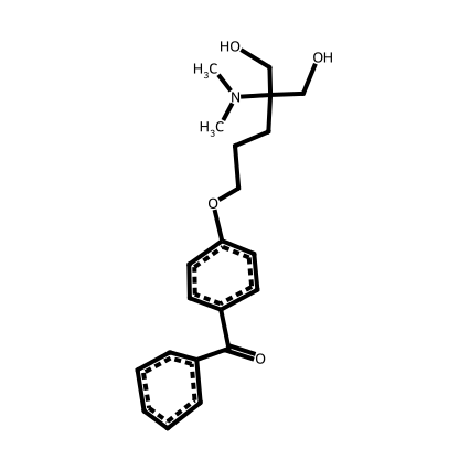 CN(C)C(CO)(CO)CCCOc1ccc(C(=O)c2ccccc2)cc1